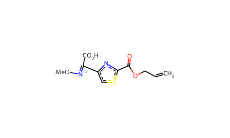 C=CCOC(=O)c1nc(/C(=N/OC)C(=O)O)cs1